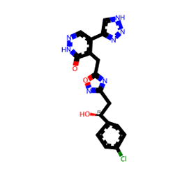 O=c1[nH]ncc(-c2c[nH]nn2)c1Cc1nc(C[C@H](O)c2ccc(Cl)cc2)no1